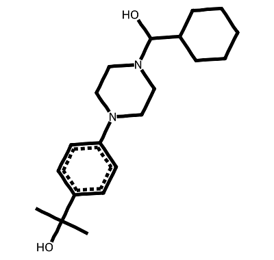 CC(C)(O)c1ccc(N2CCN(C(O)C3CCCCC3)CC2)cc1